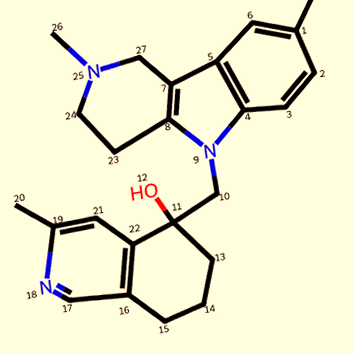 Cc1ccc2c(c1)c1c(n2CC2(O)CCCc3cnc(C)cc32)CCN(C)C1